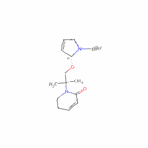 CC(C)(C)N1CC=C[C@H]1OCC(C)(C)N1CCC=CC1=O